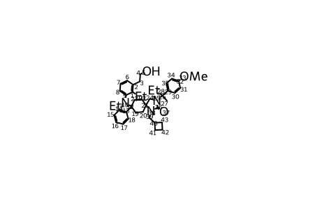 CCc1c(CCO)cccc1N(CC)C1(c2ccccc2)CCC2(CC1)CN(C(C)(CC)c1ccc(OC)cc1)C(=O)N2CC1CCC1